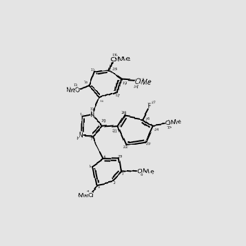 COc1cc(OC)cc(-c2ncn(-c3cc(OC)c(OC)cc3OC)c2-c2ccc(OC)c(F)c2)c1